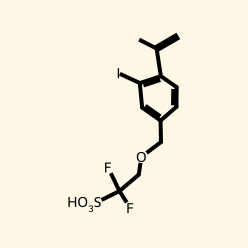 C=C(C)c1ccc(COCC(F)(F)S(=O)(=O)O)cc1I